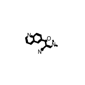 CN(C)/C=C(/C#N)C(=O)c1ccc2ncccc2c1